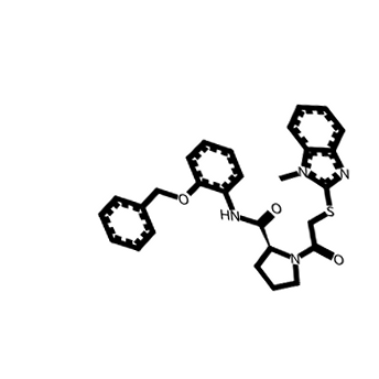 Cn1c(SCC(=O)N2CCC[C@H]2C(=O)Nc2ccccc2OCc2ccccc2)nc2ccccc21